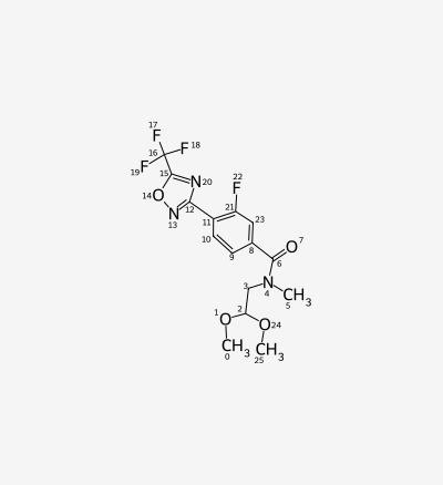 COC(CN(C)C(=O)c1ccc(-c2noc(C(F)(F)F)n2)c(F)c1)OC